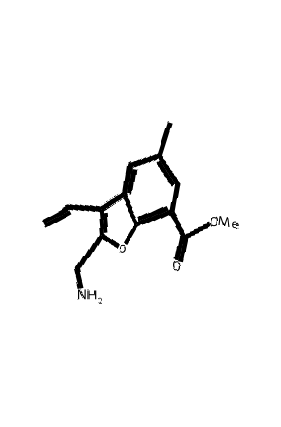 C=Cc1c(CN)oc2c(C(=O)OC)cc(C)cc12